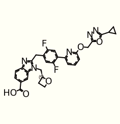 O=C(O)c1ccc2nc(Cc3cc(F)c(-c4cccc(OCc5nnc(C6CC6)o5)n4)cc3F)n(C[C@@H]3CCO3)c2c1